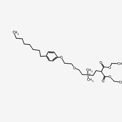 CCCCCCCCc1ccc(OCCOCC[N+](C)(C)CCC(C(=O)OCC)C(=O)OCC)cc1